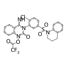 N=c1c2ccccc2n(OC(=O)C(F)(F)F)c(=O)n1-c1cc(S(=O)(=O)N2CCCc3ccccc32)ccc1Cl